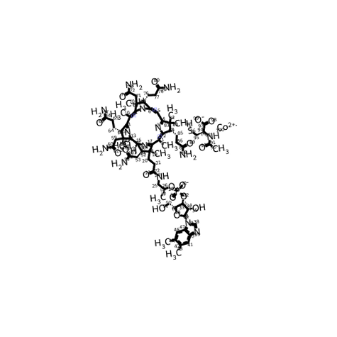 C/C1=C2N=C(/C=C3\N/C(=C(/C)C4=N[C@@](C)([C@@H]5N=C1[C@](C)(CCC(=O)NC[C@H](C)OP(=O)([O-])O[C@H]1[C@@H](O)[C@@H](n6cnc7cc(C)c(C)cc76)O[C@@H]1CO)[C@H]5CC(N)=O)[C@@](C)(CC(N)=O)[C@@H]4CCC(N)=O)[C@@](C)(CC(N)=O)[C@@H]3CCC(N)=O)C(C)(C)[C@@H]/2CCC(N)=O.CC(=O)N[C@@H](CS)C(=O)[O-].[Co+2]